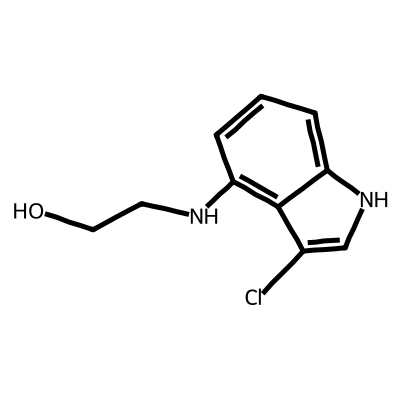 OCCNc1cccc2[nH]cc(Cl)c12